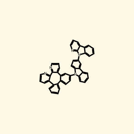 c1ccc2c(c1)-c1ccc(-n3c4ccccc4c4cc(-n5c6ccccc6c6cccnc65)ccc43)cc1-c1cccnc1-c1ncccc1-2